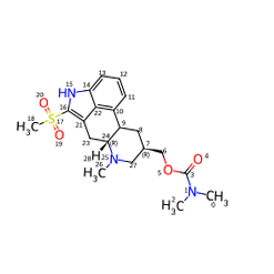 CN(C)C(=O)OC[C@@H]1CC2c3cccc4[nH]c(S(C)(=O)=O)c(c34)C[C@H]2N(C)C1